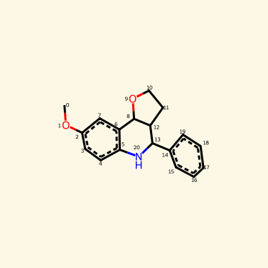 COc1ccc2c(c1)C1OCCC1C(c1ccccc1)N2